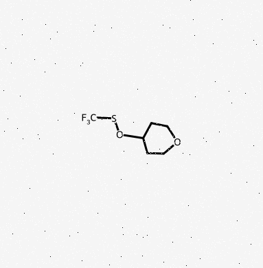 FC(F)(F)SOC1CCOCC1